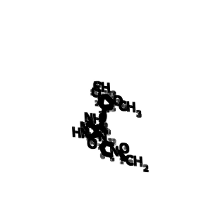 C=CC(=O)N1CCCC(n2cc(C#Cc3cc(OC)cc(OC)c3)c3c(N)n[nH]c(=O)c32)C1